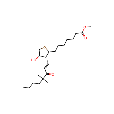 CCCCC(C)(C)C(=O)C=C[C@H]1[C@H](CCCCCCC(=O)OC)SC[C@@H]1O